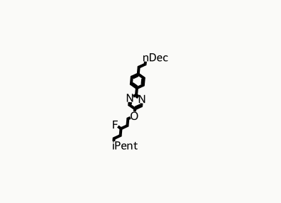 CCCCCCCCCCCCc1ccc(-c2ncc(OCCC(F)CCC(C)CCC)cn2)cc1